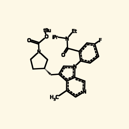 CCN(C(=O)c1cc(F)ccc1-n1cc(C[C@@H]2CCN(C(=O)OC(C)(C)C)C2)c2c(C)cncc21)C(C)C